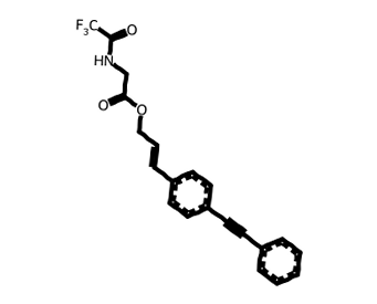 O=C(CNC(=O)C(F)(F)F)OC/C=C/c1ccc(C#Cc2ccccc2)cc1